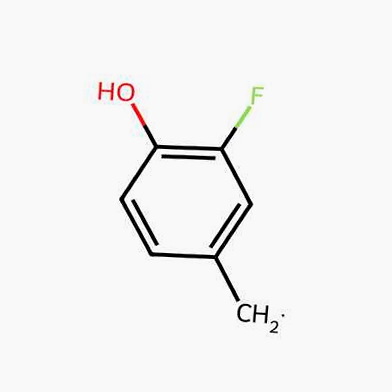 [CH2]c1ccc(O)c(F)c1